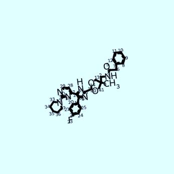 CC1(CNC(=O)Cc2ccccc2)COC(c2nc(-c3ccc(F)cc3)c(-c3ccnc(N4CCCCC4)n3)[nH]2)OC1